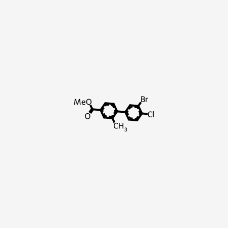 COC(=O)c1ccc(-c2ccc(Cl)c(Br)c2)c(C)c1